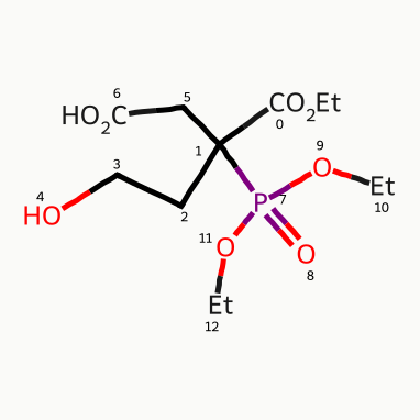 CCOC(=O)C(CCO)(CC(=O)O)P(=O)(OCC)OCC